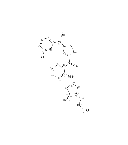 O=C(c1cc([C@@H](O)c2cccc(Cl)n2)cs1)c1cncnc1N[C@@H]1C[C@H](CNS(=O)(=O)O)[C@@H](O)C1